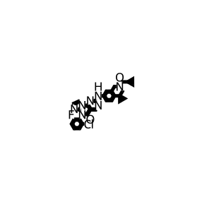 O=C(C1CC1)N1Cc2cc(Nc3ncc4c(=O)n(-c5c(F)cccc5Cl)c5nccn5c4n3)ccc2C2(CC2)C1